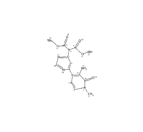 Cn1cnc(-c2cc(N(C(=O)OC(C)(C)C)C(=O)OC(C)(C)C)ncn2)c(N)c1=O